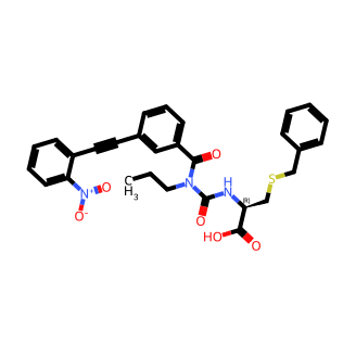 CCCN(C(=O)N[C@@H](CSCc1ccccc1)C(=O)O)C(=O)c1cccc(C#Cc2ccccc2[N+](=O)[O-])c1